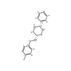 Cc1ccc(CO[C@H]2CO[C@@H](c3ccccc3)OC2)cc1